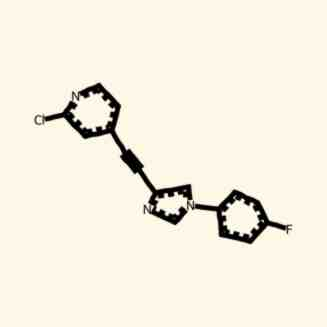 Fc1ccc(-n2cnc(C#Cc3ccnc(Cl)c3)c2)cc1